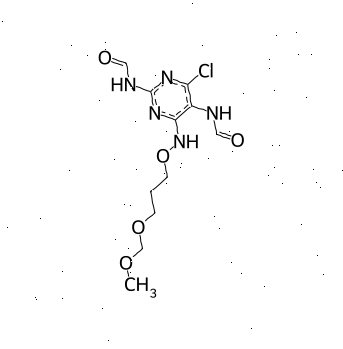 COCOCCCONc1nc(NC=O)nc(Cl)c1NC=O